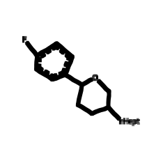 CCCCCCCC1CCC(c2ccc(F)cc2)OC1